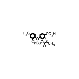 CCCCOC(=O)C(C)Oc1cc(Oc2ccc(C(F)(F)F)cc2Cl)ccc1C(=O)O